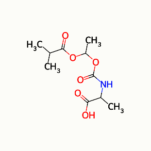 CC(OC(=O)NC(C)C(=O)O)OC(=O)C(C)C